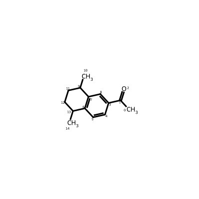 CC(=O)c1ccc2c(c1)C(C)CCC2C